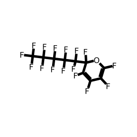 FC1=C(F)C(F)=C(F)C(F)(C(F)(F)C(F)(F)C(F)(F)C(F)(F)C(F)(F)F)O1